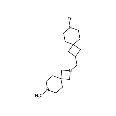 CCN1CCC2(CC1)CC(CN1CC3(CCN(C)CC3)C1)C2